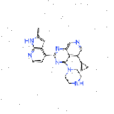 Cc1cc2c(-c3nc(N4CCNCC4)c4c(C5CC5)cncc4n3)ccnc2[nH]1